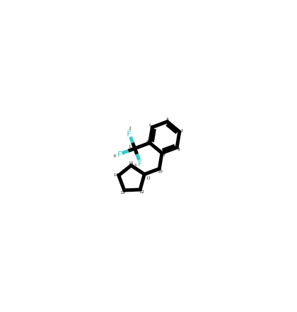 FC(F)(F)c1c[c]ccc1CC1CCCC1